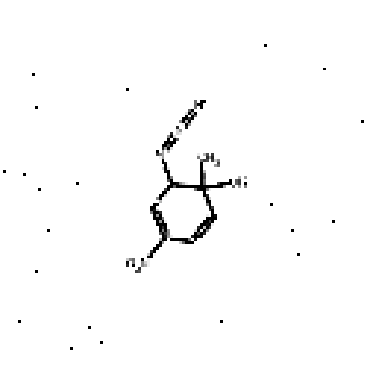 CC1(O)C=CC([N+](=O)[O-])=CC1N=[N+]=[N-]